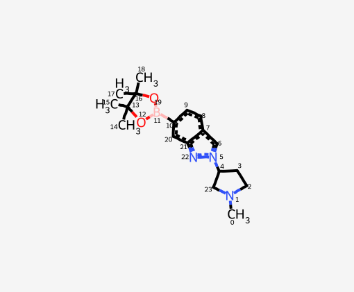 CN1CCC(n2cc3ccc(B4OC(C)(C)C(C)(C)O4)cc3n2)C1